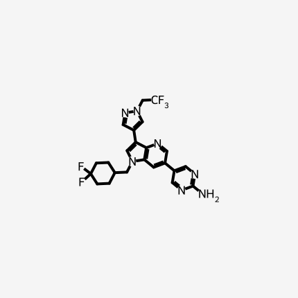 Nc1ncc(-c2cnc3c(-c4cnn(CC(F)(F)F)c4)cn(CC4CCC(F)(F)CC4)c3c2)cn1